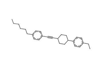 CCCCCCc1ccc(C#CC2CCC(c3ccc(CC)cc3)CC2)cc1